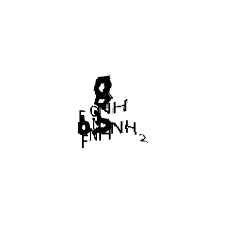 Nc1cc(Nc2cc(F)ccc2F)nc(C(=O)NC2Cc3ccccc3C2)c1